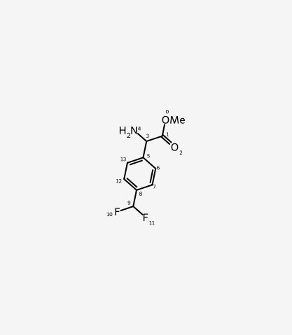 COC(=O)C(N)c1ccc(C(F)F)cc1